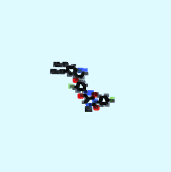 CCn1cc(C(=O)Nc2ccc(OC3=CCNc4cc(OC)c(OC)cc43)c(F)c2)c(=O)n(-c2ccc(F)cc2)c1=O